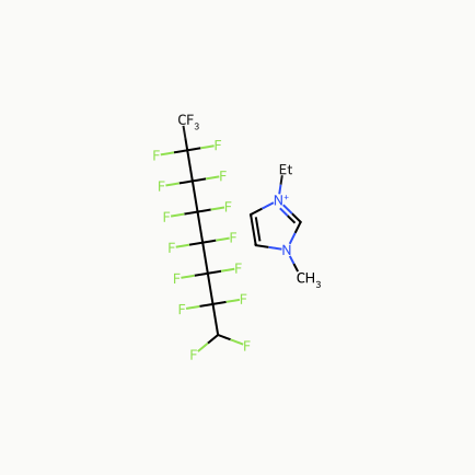 CC[n+]1ccn(C)c1.FC(F)C(F)(F)C(F)(F)C(F)(F)C(F)(F)C(F)(F)C(F)(F)C(F)(F)F